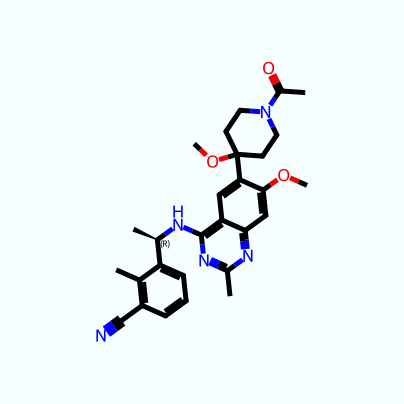 COc1cc2nc(C)nc(N[C@H](C)c3cccc(C#N)c3C)c2cc1C1(OC)CCN(C(C)=O)CC1